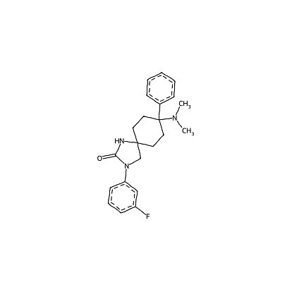 CN(C)C1(c2ccccc2)CCC2(CC1)CN(c1cccc(F)c1)C(=O)N2